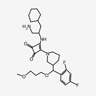 COCCCOC(c1ccc(F)cc1F)C1CCCN(c2c(NC(CN)CC3CCCCC3)c(=O)c2=O)C1